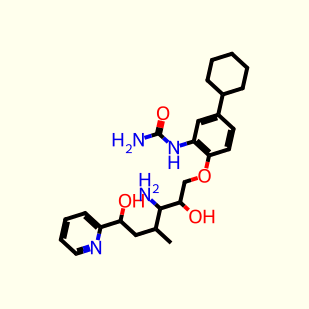 CC(CC(O)c1ccccn1)C(N)C(O)COc1ccc(C2CCCCC2)cc1NC(N)=O